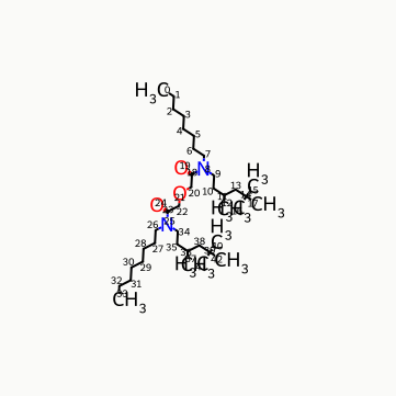 CCCCCCCCN(CCC(C)CC(C)(C)C)C(=O)COCC(=O)N(CCCCCCCC)CCC(C)CC(C)(C)C